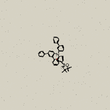 CC1(C)OB(c2ccc(N(c3cccc(C4=CCCC=C4)c3)c3ccc(-c4ccccc4)cc3-c3ccccc3)cc2)OC1(C)C